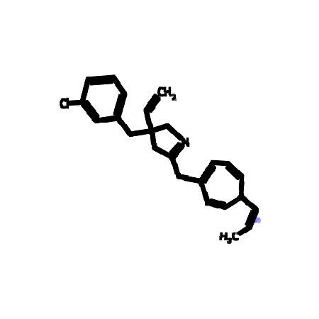 C=CC1(Cc2cccc(Cl)c2)CN=C(CC2=CC=CC(/C=C\C)C=C2)C1